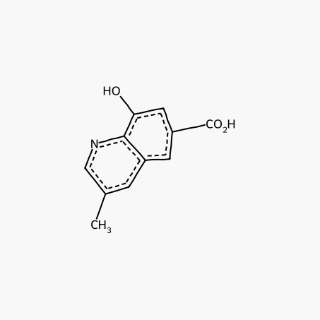 Cc1cnc2c(O)cc(C(=O)O)cc2c1